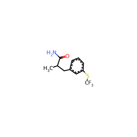 CC(Cc1cccc(SC(F)(F)F)c1)C(N)=O